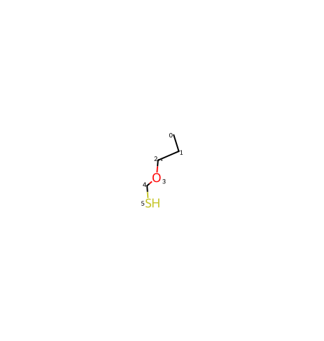 CC[CH]OCS